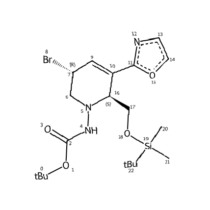 CC(C)(C)OC(=O)NN1C[C@H](Br)C=C(c2ncco2)[C@H]1CO[Si](C)(C)C(C)(C)C